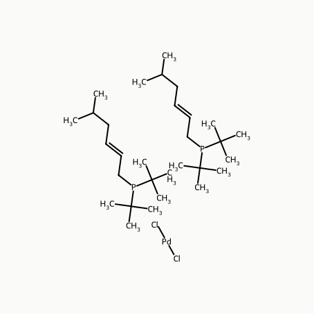 CC(C)CC=CCP(C(C)(C)C)C(C)(C)C.CC(C)CC=CCP(C(C)(C)C)C(C)(C)C.[Cl][Pd][Cl]